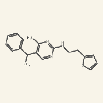 CC(c1ccccc1)c1cnc(NCCc2cccs2)nc1N